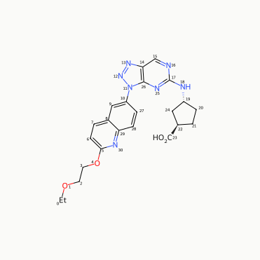 CCOCCOc1ccc2cc(-n3nnc4cnc(N[C@@H]5CC[C@@H](C(=O)O)C5)nc43)ccc2n1